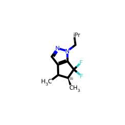 CC(C)Cn1ncc2c1C(F)(F)[C@@H](C)C2C